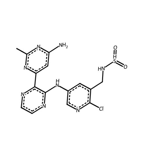 Cc1nc(N)cc(-c2nccnc2Nc2cnc(Cl)c(CN[SH](=O)=O)c2)n1